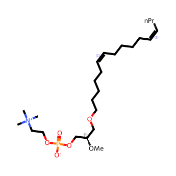 CCC/C=C\CCCC/C=C\CCCCCOC[C@H](COP(=O)([O-])OCC[N+](C)(C)C)OC